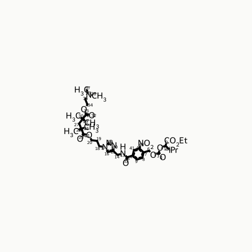 CCOC(=O)C(OC(=O)OCc1ccc(C(=O)NCc2cn(CCCOC(=O)C(C)(C)CC(C)(C)C(=O)OCCN(C)C)nn2)cc1[N+](=O)[O-])C(C)C